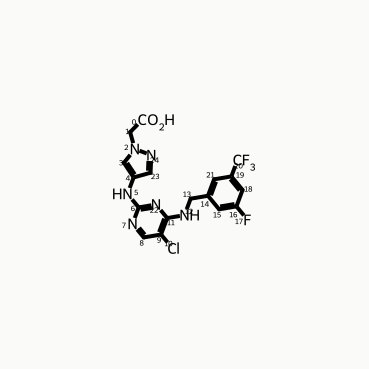 O=C(O)Cn1cc(Nc2ncc(Cl)c(NCc3cc(F)cc(C(F)(F)F)c3)n2)cn1